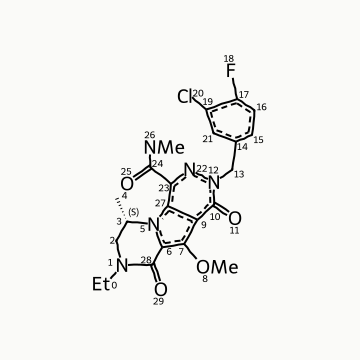 CCN1C[C@H](C)n2c(c(OC)c3c(=O)n(Cc4ccc(F)c(Cl)c4)nc(C(=O)NC)c32)C1=O